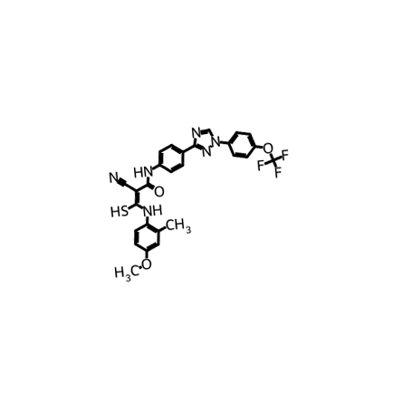 COc1ccc(NC(S)=C(C#N)C(=O)Nc2ccc(-c3ncn(-c4ccc(OC(F)(F)F)cc4)n3)cc2)c(C)c1